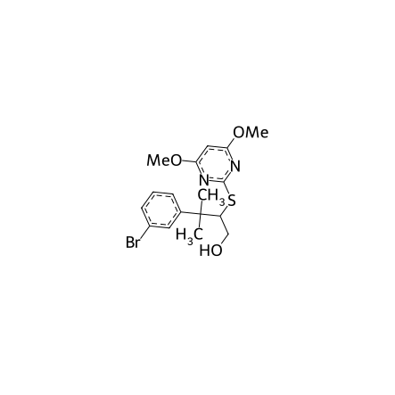 COc1cc(OC)nc(SC(CO)C(C)(C)c2cccc(Br)c2)n1